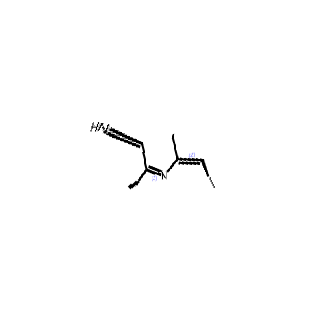 CC(=C/I)/N=C(/C)C=N